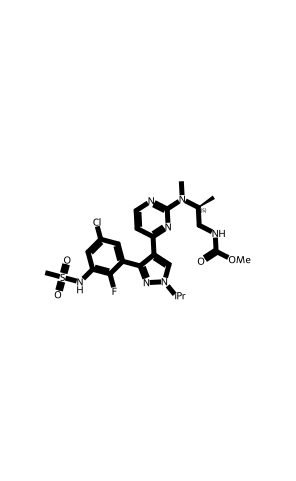 COC(=O)NC[C@H](C)N(C)c1nccc(-c2cn(C(C)C)nc2-c2cc(Cl)cc(NS(C)(=O)=O)c2F)n1